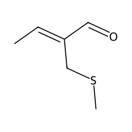 CC=C(C=O)CSC